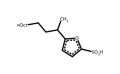 CCCCCCCCCCC(C)c1ccc(S(=O)(=O)O)o1